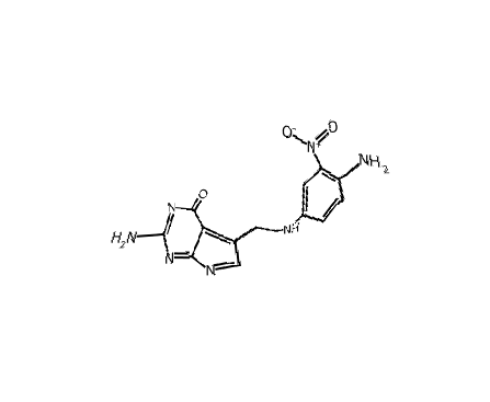 NC1=NC(=O)C2=C(CNc3ccc(N)c([N+](=O)[O-])c3)C=NC2=N1